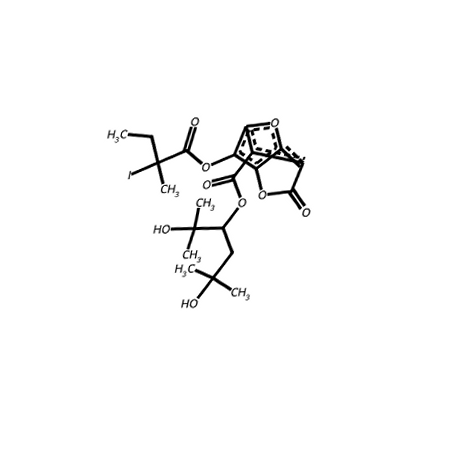 CCC(C)(I)C(=O)Oc1c2c3oc1c(C(=O)OC(CC(C)(C)O)C(C)(C)O)c3C(=O)O2